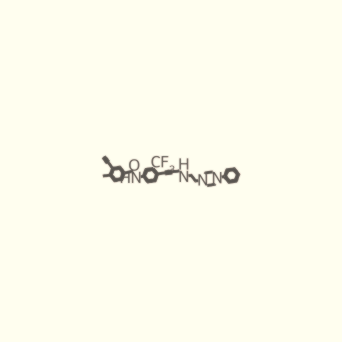 C#Cc1cc(C(=O)Nc2ccc(C#CCNCCN3CCN(c4ccccc4)CC3)c(C(F)(F)F)c2)ccc1C